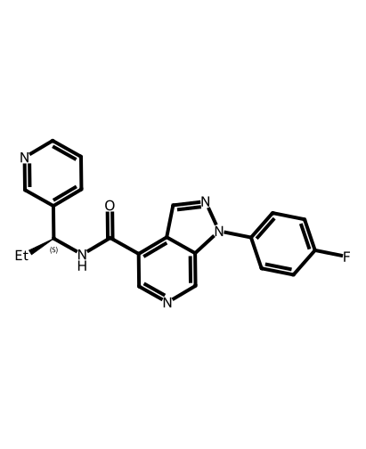 CC[C@H](NC(=O)c1cncc2c1cnn2-c1ccc(F)cc1)c1cccnc1